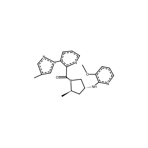 COc1cccnc1N[C@@H]1C[C@@H](C)N(C(=O)c2ncccc2-n2cc(C)cn2)C1